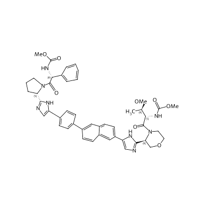 COC(=O)N[C@H](C(=O)N1CCOC[C@H]1c1ncc(-c2ccc3cc(-c4ccc(-c5cnc([C@@H]6CCCN6C(=O)[C@H](NC(=O)OC)c6ccccc6)[nH]5)cc4)ccc3c2)[nH]1)[C@@H](C)OC